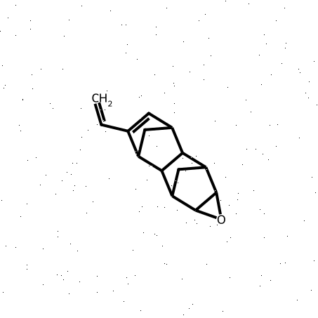 C=CC1=CC2CC1C1C3CC(C4OC34)C21